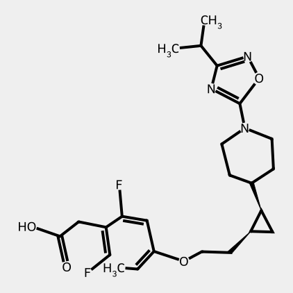 C\C=C(/C=C(F)\C(=C\F)CC(=O)O)OCC[C@@H]1C[C@@H]1C1CCN(c2nc(C(C)C)no2)CC1